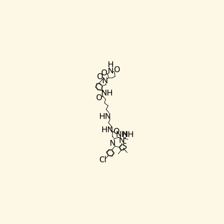 CC(=N)N1C(=N)[C@H](CC(=O)NCCCNCCCCCC(=O)Nc2cccc3c2CN(C2CCC(=O)NC2=O)C3=O)N=C(c2ccc(Cl)cc2)c2c1sc(C)c2C